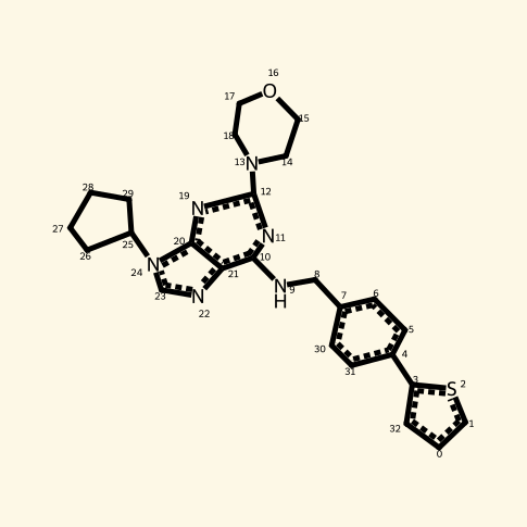 c1csc(-c2ccc(CNc3nc(N4CCOCC4)nc4c3ncn4C3CCCC3)cc2)c1